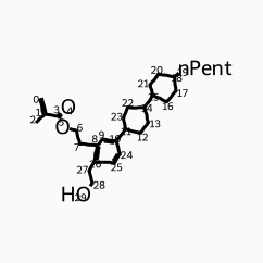 C=C(C)C(=O)OCCc1cc(C2CCC(C3CCC(CCCCC)CC3)CC2)ccc1CCO